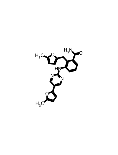 Cc1ccc(Cc2c(Nc3ncc(-c4ccc(C)o4)cn3)cccc2C(N)=O)o1